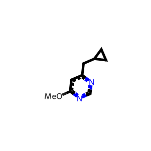 COc1cc(CC2CC2)ncn1